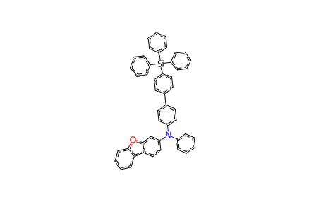 c1ccc(N(c2ccc(-c3ccc([Si](c4ccccc4)(c4ccccc4)c4ccccc4)cc3)cc2)c2ccc3c(c2)oc2ccccc23)cc1